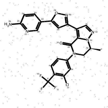 C[C@H]1CN(c2ccc(C(F)(F)F)c(Cl)c2)C(=O)c2c(-c3cc(-c4ccc(N)nc4)on3)cnn21